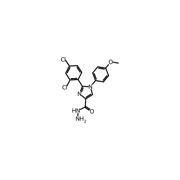 COc1ccc(-n2cc(C(=O)NN)nc2-c2ccc(Cl)cc2Cl)cc1